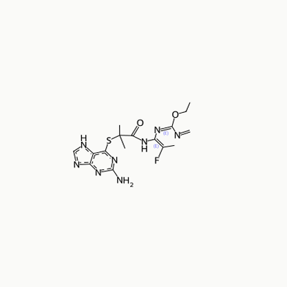 C=N/C(=N\C(NC(=O)C(C)(C)Sc1nc(N)nc2nc[nH]c12)=C(/C)F)OCC